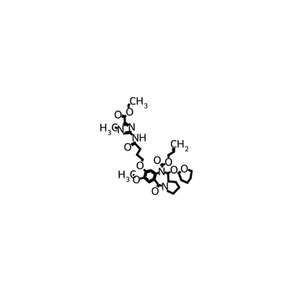 C=CCOC(=O)N1c2cc(OCCCC(=O)Nc3cn(C)c(C(=O)OCC)n3)c(OC)cc2C(=O)N2CCCCC2C1OC1CCCCO1